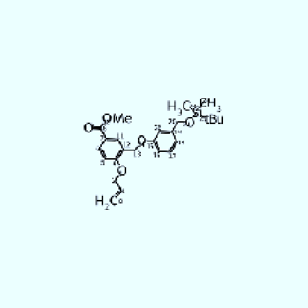 C=CCOc1ccc(C(=O)OC)cc1COc1cccc(CO[Si](C)(C)C(C)(C)C)c1